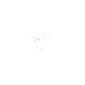 COC(=O)Cc1nn(Cc2cn3cc(OCC4CC4)c(Cl)cc3n2)c2cccc(C)c2c1=O